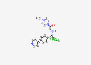 CN1CCN(C(=O)CNC2CC2c2ccc(-c3ccncc3)cc2)CC1.Cl.Cl.Cl